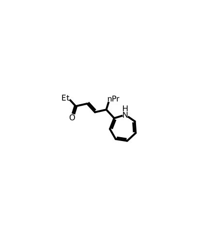 CCCC(C=CC(=O)CC)C1=CC=CC=CN1